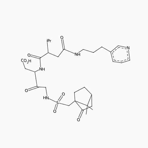 CC(C)C(CC(=O)NCCCc1cccnc1)C(=O)NC(CC(=O)O)C(=O)CNS(=O)(=O)CC12CCC(CC1=O)C2(C)C